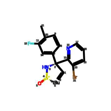 C=C[C@@](N[S@@+]([O-])C(C)(C)C)(c1ccc(C)c(F)c1)c1ncccc1Br